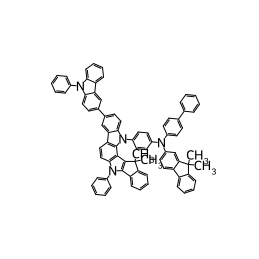 CC1(C)c2ccccc2-c2ccc(N(c3ccc(-c4ccccc4)cc3)c3ccc(-n4c5ccc(-c6ccc7c(c6)c6ccccc6n7-c6ccccc6)cc5c5ccc6c(c7c(n6-c6ccccc6)-c6ccccc6C7(C)C)c54)cc3)cc21